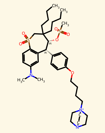 CCCCC1(CCCC)CS(=O)(=O)c2ccc(N(C)C)cc2[C@@H](c2ccc(OCCCC[N+]34CCN(CC3)CC4)cc2)[C@H]1OS(C)(=O)=O